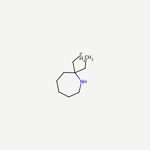 CCC1(CC)CCCCCN1